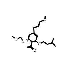 COCCCC1=CC(OCCC(C)C)C(C(C)=O)[C@H](OCOC)C1